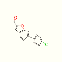 O=Cc1cc2ccc(-c3ccc(Cl)cc3)cc2o1